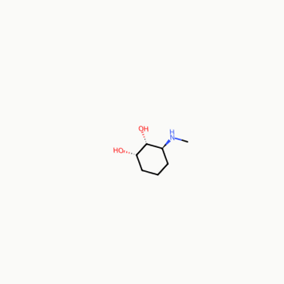 CN[C@H]1CCC[C@H](O)[C@@H]1O